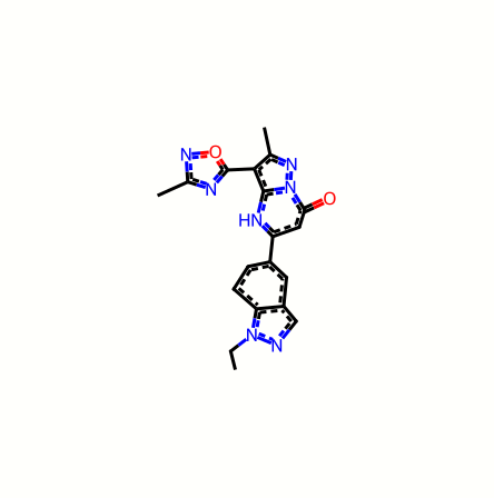 CCn1ncc2cc(-c3cc(=O)n4nc(C)c(-c5nc(C)no5)c4[nH]3)ccc21